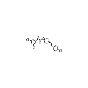 O=C(NC1CC12CCN(CCc1ccc(Cl)cc1)CC2)c1cc(Cl)cc(Cl)c1